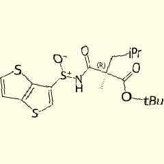 CC(C)C[C@](C)(C(=O)N[S+]([O-])c1csc2ccsc12)C(=O)OC(C)(C)C